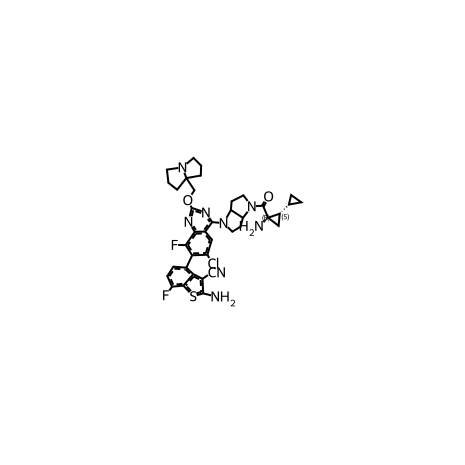 N#Cc1c(N)sc2c(F)ccc(-c3c(Cl)cc4c(N5CCC6C5CCN6C(=O)[C@@]5(N)C[C@H]5C5CC5)nc(OCC56CCCN5CCC6)nc4c3F)c12